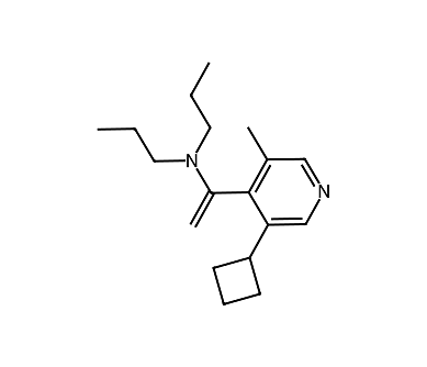 C=C(c1c(C)cncc1C1CCC1)N(CCC)CCC